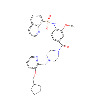 COc1cc(C(=O)N2CCN(Cc3ncccc3OCC3CCCC3)CC2)ccc1NS(=O)(=O)c1cccc2cccnc12